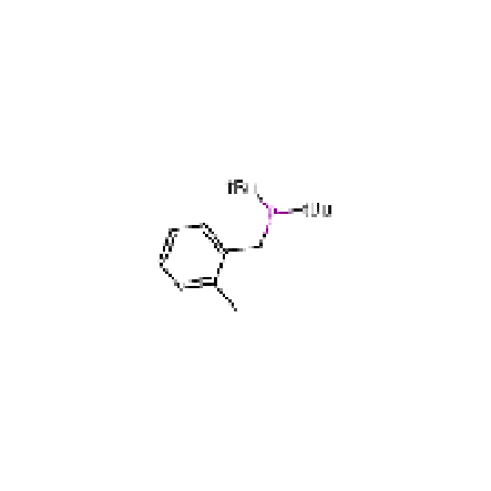 Cc1ccccc1CP(C(C)(C)C)C(C)(C)C